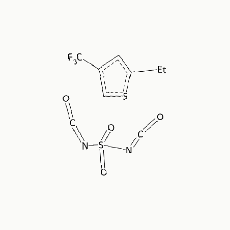 CCc1cc(C(F)(F)F)cs1.O=C=NS(=O)(=O)N=C=O